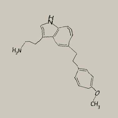 COc1ccc(CCc2ccc3[nH]cc(CCN)c3c2)cc1